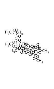 CCC(C)(OC1COC(C(C)(C)OC2COC(OC(=O)C(C)CC(C)C)C(OC(C)=O)C2OC(C)=O)C(OC(C)=O)C1OC(C)=O)C1OCC(OC(C)=O)C(OC(C)=O)C1OC(C)=O